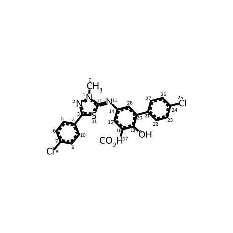 Cn1nc(-c2ccc(Cl)cc2)sc1=Nc1cc(C(=O)O)c(O)c(-c2ccc(Cl)cc2)c1